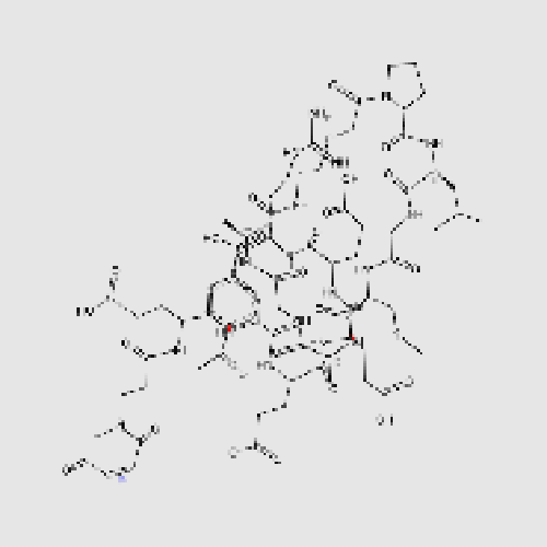 CSCC(NC(=O)CNC(=O)[C@H](CC(C)C)NC(=O)C1CCCN1C(=O)COCCNC(=O)C(Cc1ccc(C(C)=O)cc1)NC(=O)C(CCC(=O)O)NC(=O)C(CCC(=O)O)NC(=O)C(CCC(=O)O)NC(=O)C(CCC(=O)O)NC(=O)C(CCC(=O)O)NC(=O)CCN(C)C(=O)/C=C\C=O)C(=O)N[C@@H](C)C(=O)NCC(=O)N[C@@H](C)CCCNC(=N)N